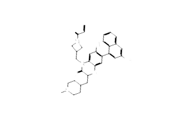 C=CC(=O)N1CC(CN2C(=O)C(CC3CCN(C)CC3)Oc3cc(-c4cc(O)cc5ccccc45)c(Cl)cc32)C1